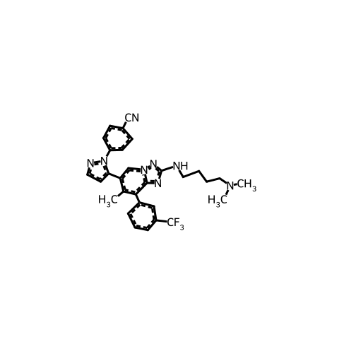 Cc1c(-c2ccnn2-c2ccc(C#N)cc2)cn2nc(NCCCCN(C)C)nc2c1-c1cccc(C(F)(F)F)c1